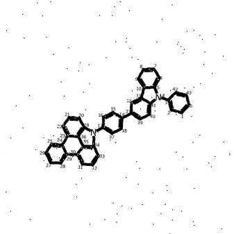 c1ccc(-n2c3ccccc3c3cc(-c4ccc(-n5c6cccc7c8ccccc8c8cccc5c8c76)cc4)ccc32)cc1